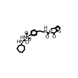 O=C(NC1CCCCCC1)NS(=O)(=O)c1ccc(CCNC(=O)N2Cc3ccsc3C2=O)cc1